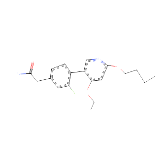 CCCCOc1cc(OCC)c(-c2ccc(CC(N)=O)cc2F)cn1